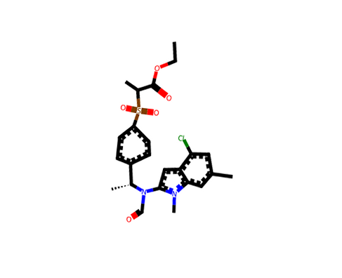 CCOC(=O)C(C)S(=O)(=O)c1ccc([C@@H](C)N(C=O)c2cc3c(Cl)cc(C)cc3n2C)cc1